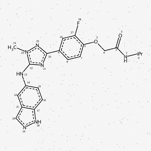 CC(C)NC(=O)COc1ccc(-c2nc(Nc3ccc4[nH]ncc4c3)n(C)n2)cc1F